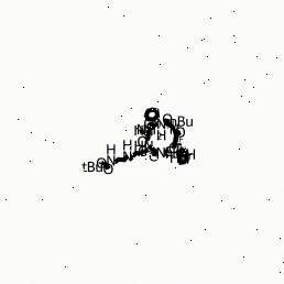 CCCC[C@H]1C(=O)N[C@@H](C2CCCCCC2)C(=O)N[C@@H](CN)C(=O)N[C@@H](COCCCNCCCNC(=O)OC(C)(C)C)C(=O)N[C@H](C)CO[C@H](C[C@@H]2C[C@@H]3CC[C@@H](C3)C2)[C@@H](C)C(=O)N1C